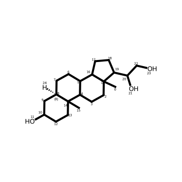 CC12CCC3C(CC[C@@H]4CC(O)CCC34C)C1CCC2C(O)CO